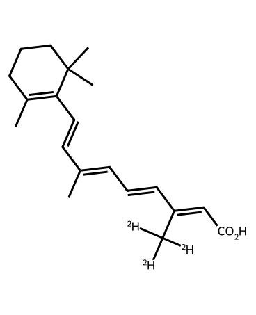 [2H]C([2H])([2H])C(C=CC=C(C)C=CC1=C(C)CCCC1(C)C)=CC(=O)O